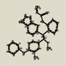 C=CC(=O)Oc1ccccc1/C(=C(\CC)c1ccc(Oc2ccccc2)c(C)c1)c1ccc2[nH]ncc2c1